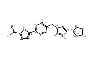 FC(F)c1nnc(-c2ccc(Cn3cc([C@@H]4CCCN4)nn3)nc2)o1